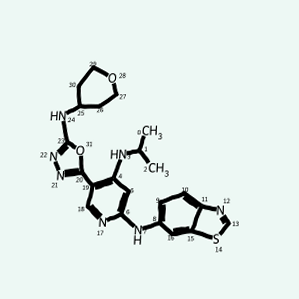 CC(C)Nc1cc(Nc2ccc3ncsc3c2)ncc1-c1nnc(NC2CCOCC2)o1